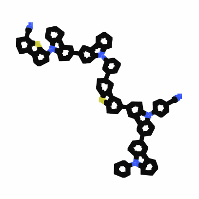 N#Cc1ccc(-n2c3ccc(-c4ccc5sc6ccc(-c7cccc(-n8c9ccccc9c9cc(-c%10ccc%11c(c%10)c%10ccccc%10n%11-c%10cccc%11c%10sc%10c(C#N)cccc%10%11)ccc98)c7)cc6c5c4)cc3c3cc(-c4ccc5c(c4)c4ccccc4n5-c4ccccc4)ccc32)cc1